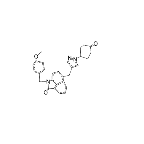 COc1ccc(CN2C(=O)c3cccc4c(Cc5cnn(C6CCC(=O)CC6)c5)ccc2c34)cc1